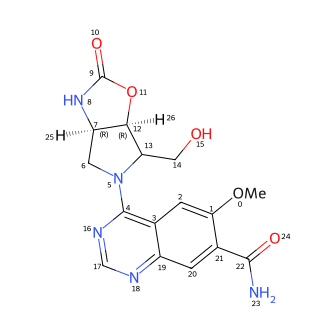 COc1cc2c(N3C[C@H]4NC(=O)O[C@H]4C3CO)ncnc2cc1C(N)=O